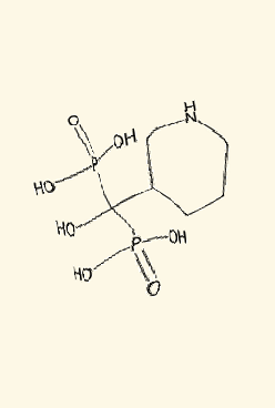 O=P(O)(O)C(O)(C1CCCNC1)P(=O)(O)O